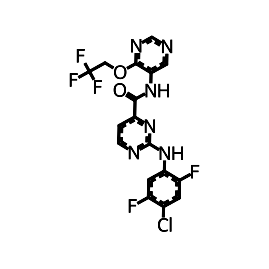 O=C(Nc1cncnc1OCC(F)(F)F)c1ccnc(Nc2cc(F)c(Cl)cc2F)n1